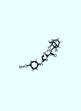 COc1ccc(Sc2cnc(C(=O)N[C@@H]3C4CCN(CC4)[C@H]3C)s2)cc1